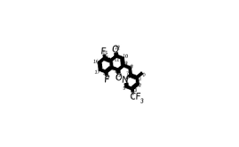 Cc1cc(C(F)(F)F)cnc1CC1=CC(=O)c2c(F)ccc(F)c2C1=O